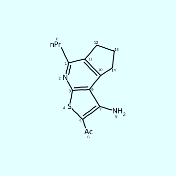 CCCc1nc2sc(C(C)=O)c(N)c2c2c1CCC2